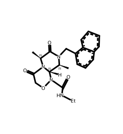 CCNC(=O)N1OCC(=O)N2[C@@H]1[C@H](C)N(Cc1cccc3ccccc13)C(=O)[C@@H]2C